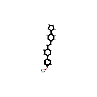 FC(F)(F)Oc1ccc(C2CCC(CCC3CCC(C4CCCC4)CC3)CC2)cc1